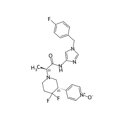 C[C@@H](C(=O)Nc1cn(Cc2ccc(F)cc2)cn1)N1CCC(F)(F)[C@@H](c2cc[n+]([O-])cc2)C1